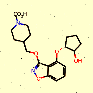 O=C(O)N1CCC(COc2noc3cccc(O[C@@H]4CCC[C@H]4O)c23)CC1